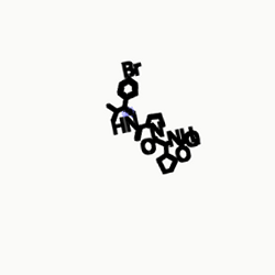 C=C(N/C=C(/c1ccc(Br)cc1)C(C)C)C1C=CCN1C(=O)C(NC(=O)OC)C1CCCC1